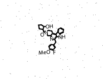 COc1ccc(Cc2nc3c(c4c2[nH]c2ccccc24)CCN(C(=O)C2CCCC2O)C3)cc1F